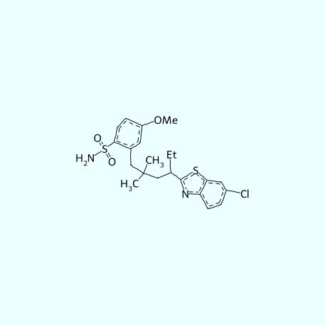 CCC(CC(C)(C)Cc1cc(OC)ccc1S(N)(=O)=O)c1nc2ccc(Cl)cc2s1